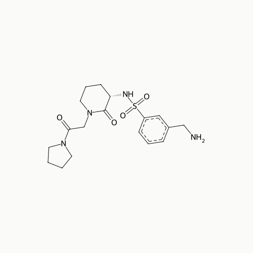 NCc1cccc(S(=O)(=O)N[C@H]2CCCN(CC(=O)N3CCCC3)C2=O)c1